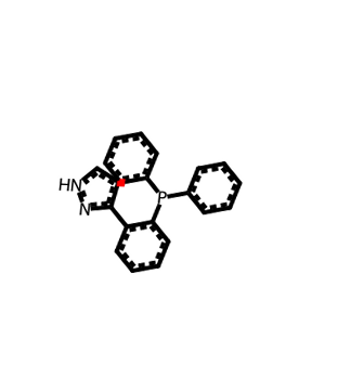 c1ccc(P(c2ccccc2)c2ccccc2-c2cc[nH]n2)cc1